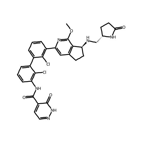 COc1nc(-c2cccc(-c3cccc(NC(=O)c4ccn[nH]c4=O)c3Cl)c2Cl)cc2c1[C@@H](NC[C@@H]1CCC(=O)N1)CC2